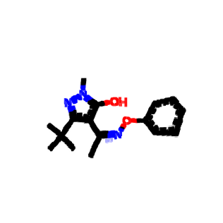 C/C(=N/Oc1ccccc1)c1c(C(C)(C)C)nn(C)c1O